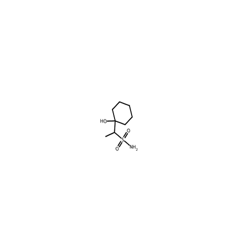 CC(C1(O)CCCCC1)S(N)(=O)=O